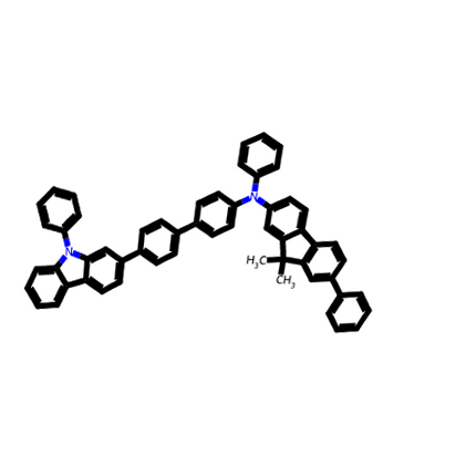 CC1(C)c2cc(-c3ccccc3)ccc2-c2ccc(N(c3ccccc3)c3ccc(-c4ccc(-c5ccc6c7ccccc7n(-c7ccccc7)c6c5)cc4)cc3)cc21